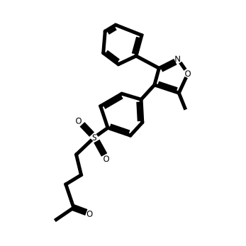 CC(=O)CCCS(=O)(=O)c1ccc(-c2c(-c3ccccc3)noc2C)cc1